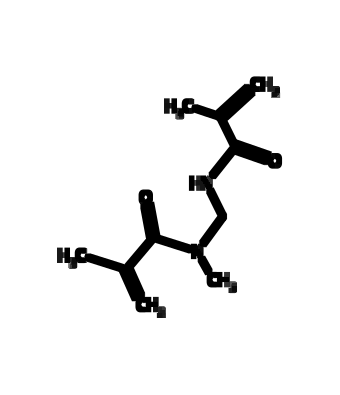 C=C(C)C(=O)NCN(C)C(=O)C(=C)C